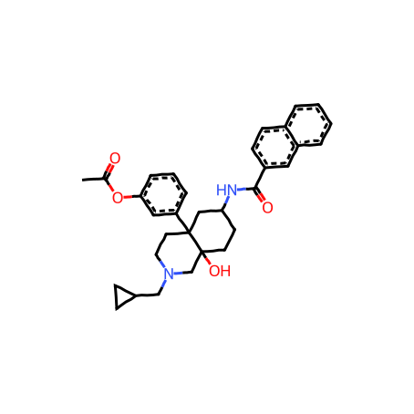 CC(=O)Oc1cccc(C23CCN(CC4CC4)CC2(O)CCC(NC(=O)c2ccc4ccccc4c2)C3)c1